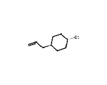 C=CC[C@H]1CC[C@H](CC)CC1